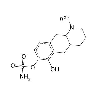 CCCN1CCCC2Cc3c(ccc(OS(N)(=O)=O)c3O)CC21